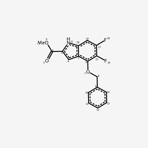 COC(=O)c1cc2c(OCc3ccccc3)c(F)c(F)cc2[nH]1